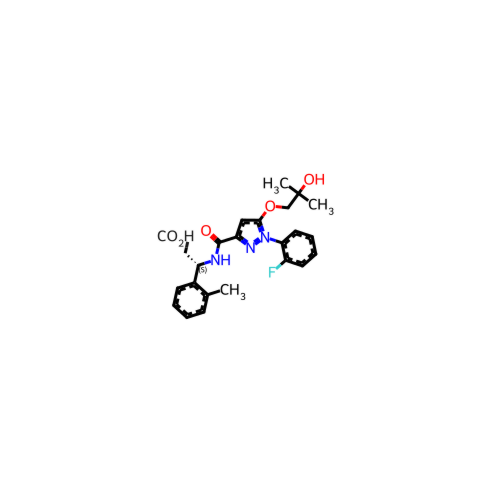 Cc1ccccc1[C@H](CC(=O)O)NC(=O)c1cc(OCC(C)(C)O)n(-c2ccccc2F)n1